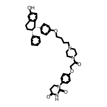 O=C1CCN(c2ccc(OCC(=O)N3CCN(CCCCOc4ccc([C@H]5c6ccc(O)cc6CC[C@H]5c5ccccc5)cc4)CC3)cc2)C(=O)N1